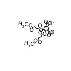 CCOC(=O)CCC(=O)Oc1cc([N+](=O)[O-])cc([N+](=O)[O-])c1OC(=O)CCC(=O)OCC